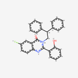 O=c1c2cc(F)ccc2nc(-c2ccccc2O)n1CC(c1ccccc1)c1ccccc1